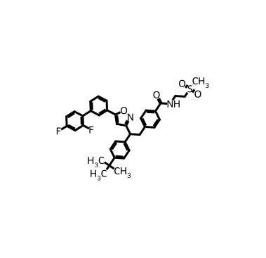 CC(C)(C)c1ccc(C(Cc2ccc(C(=O)NCCS(C)(=O)=O)cc2)c2cc(-c3cccc(-c4ccc(F)cc4F)c3)on2)cc1